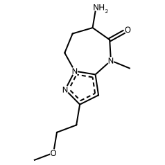 COCCc1cc2n(n1)CCC(N)C(=O)N2C